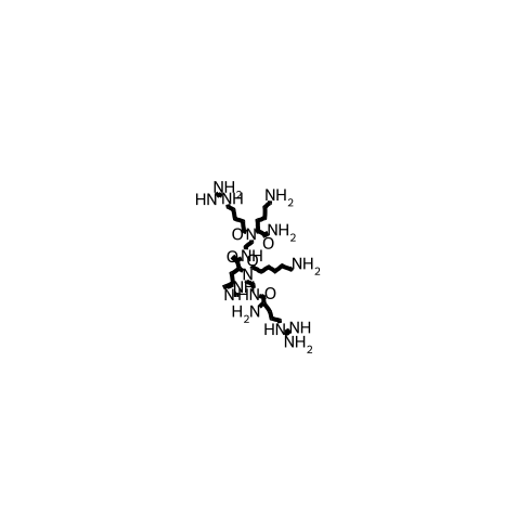 N=C(N)NCCCCC(=O)N(CCNC(=O)C(Cc1cnc[nH]1)N(CCNC(=O)C(N)CCCNC(=N)N)C(=O)CCCCCN)C(CCCCN)C(N)=O